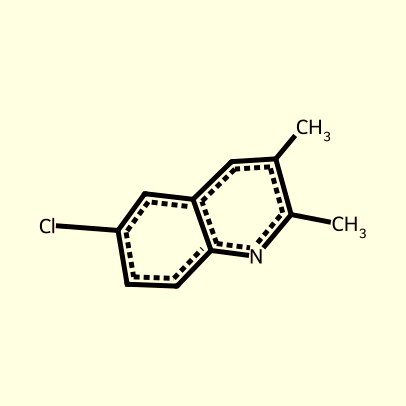 Cc1cc2cc(Cl)ccc2nc1C